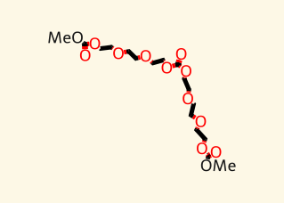 COC(=O)OCCOCCOCCOC(=O)OCCOCCOCCOC(=O)OC